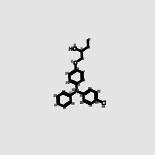 CCC(O)COc1ccc(N(c2ccccc2)c2ccc(Cl)cc2)cc1